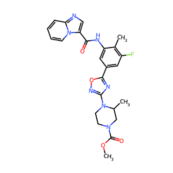 COC(=O)N1CCN(c2noc(-c3cc(F)c(C)c(NC(=O)c4cnc5ccccn45)c3)n2)C(C)C1